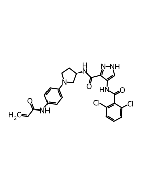 C=CC(=O)Nc1ccc(N2CC[C@@H](NC(=O)c3n[nH]cc3NC(=O)c3c(Cl)cccc3Cl)C2)cc1